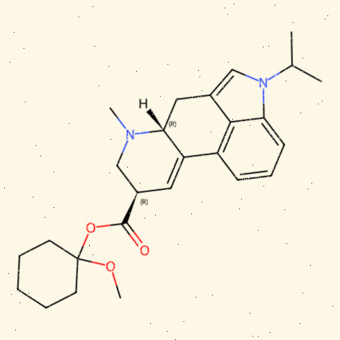 COC1(OC(=O)[C@@H]2C=C3c4cccc5c4c(cn5C(C)C)C[C@H]3N(C)C2)CCCCC1